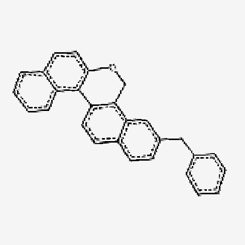 c1ccc(Cc2ccc3ccc4c(c3c2)COc2ccc3ccccc3c2-4)cc1